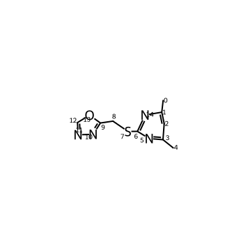 Cc1cc(C)nc(SCc2nnco2)n1